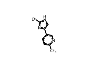 CCc1nc(-c2ccc(C(F)(F)F)nc2)c[nH]1